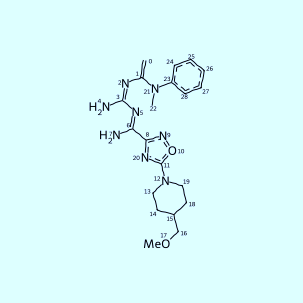 C=C(/N=C(N)\N=C(/N)c1noc(N2CCC(COC)CC2)n1)N(C)c1ccccc1